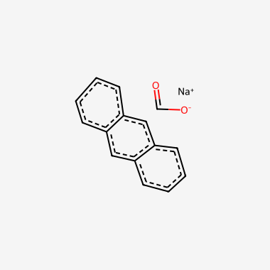 O=C[O-].[Na+].c1ccc2cc3ccccc3cc2c1